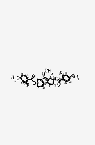 CCC1c2cc(OC(=O)c3ccc(C)cc3F)ccc2-c2ccc(OC(=O)c3ccc(C)cc3F)cc21